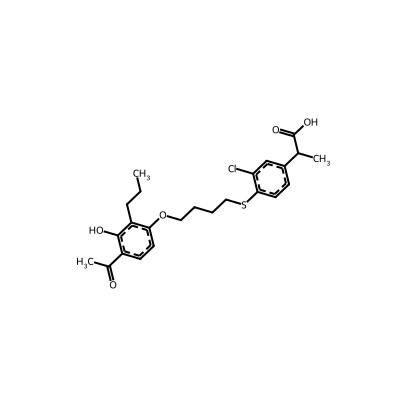 CCCc1c(OCCCCSc2ccc(C(C)C(=O)O)cc2Cl)ccc(C(C)=O)c1O